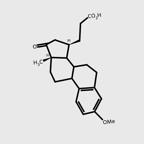 COc1ccc2c(c1)CCC1C2CC[C@]2(C)C(=O)C[C@@H](CCC(=O)O)C12